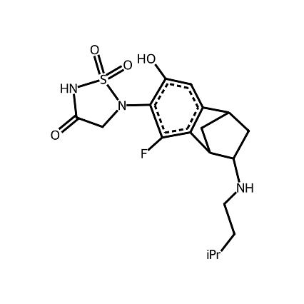 CC(C)CCNC1CC2CC1c1c2cc(O)c(N2CC(=O)NS2(=O)=O)c1F